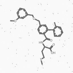 COc1cccc(COCc2ccc(C(=O)NC(CCSC)C(=O)O)c(-c3ccccc3C)c2)c1